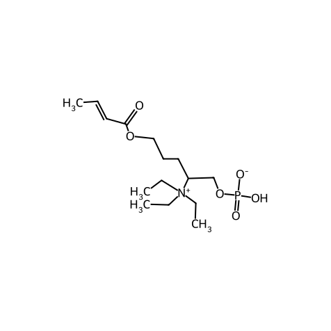 CC=CC(=O)OCCCC(COP(=O)([O-])O)[N+](CC)(CC)CC